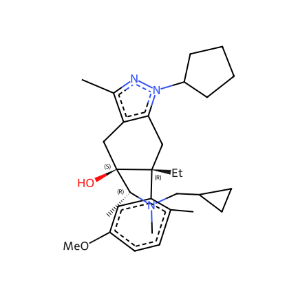 CC[C@]1(c2cc(OC)ccc2C)Cc2c(c(C)nn2C2CCCC2)C[C@@]1(O)[C@@H](C)N(C)CC1CC1